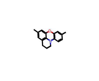 Cc1ccc2c(c1)Oc1cc(C)cc3c1N2CCC3